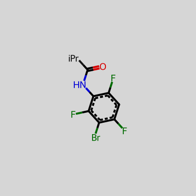 CC(C)C(=O)Nc1c(F)cc(F)c(Br)c1F